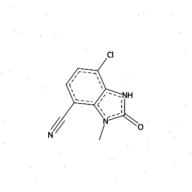 Cn1c(=O)[nH]c2c(Cl)ccc(C#N)c21